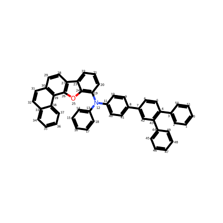 c1ccc(-c2ccc(-c3ccc(N(c4ccccc4)c4cccc5c4oc4c5ccc5ccc6ccccc6c54)cc3)cc2-c2ccccc2)cc1